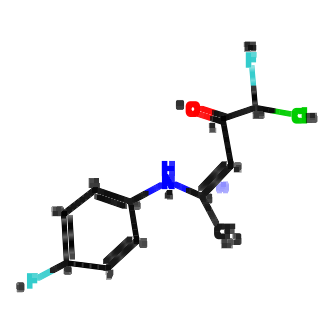 O=C(/C=C(\Nc1ccc(F)cc1)C(F)(F)F)C(F)Cl